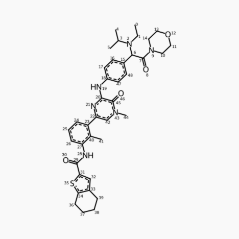 CCN(C(C)C)C(C(=O)N1CCOCC1)c1ccc(Nc2nc(-c3cccc(NC(=O)c4cc5c(s4)CCCC5)c3C)cn(C)c2=O)cc1